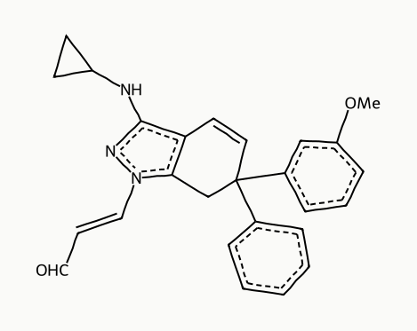 COc1cccc(C2(c3ccccc3)C=Cc3c(NC4CC4)nn(C=CC=O)c3C2)c1